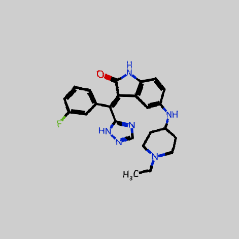 CCN1CCC(Nc2ccc3c(c2)C(=C(c2cccc(F)c2)c2ncn[nH]2)C(=O)N3)CC1